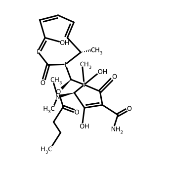 CCCC(=O)O[C@@H](I1C(=O)/I=C(O)/C=C\C=C\[C@@H]1C)I1(C)(O)C(=O)C(C(N)=O)=C(O)[C@H]1N(C)C